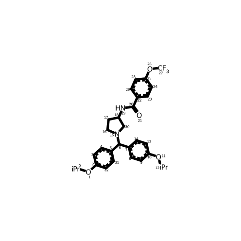 CC(C)Oc1ccc(C(c2ccc(OC(C)C)cc2)N2CCC(NC(=O)c3ccc(OC(F)(F)F)cc3)C2)cc1